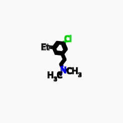 CCc1cc(Cl)cc(CCN(C)C)c1